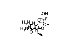 C#CCn1c(=O)n([C@@H]2O[C@H](CO)[C@H](F)[C@H]2O)c2nc(N)n(N)c(=O)c21